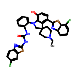 CC(C)(C)CN1CCC2(CC1)CN(c1ccccc1NC(=O)Nc1nc3ccc(Cl)cc3s1)c1c(O)ccc(C3=NC4C=CC=C(Cl)C4S3)c12